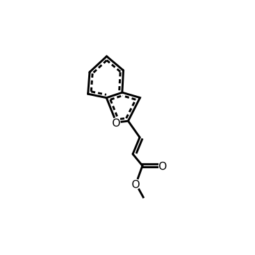 COC(=O)/C=C/c1cc2ccccc2o1